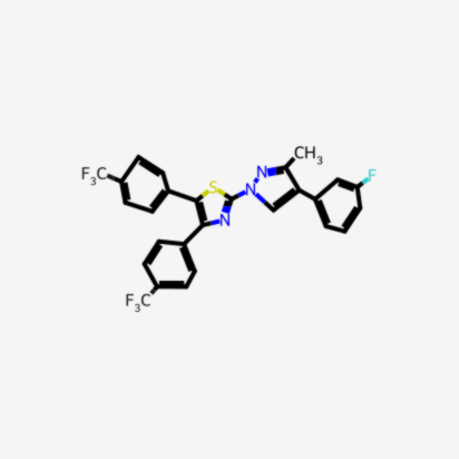 Cc1nn(-c2nc(-c3ccc(C(F)(F)F)cc3)c(-c3ccc(C(F)(F)F)cc3)s2)cc1-c1cccc(F)c1